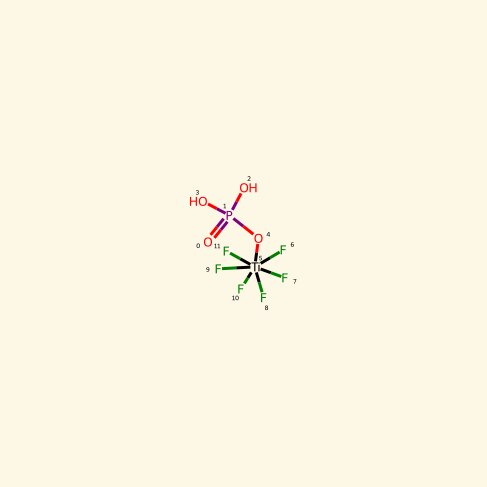 O=P(O)(O)[O][Ti]([F])([F])([F])([F])([F])[F]